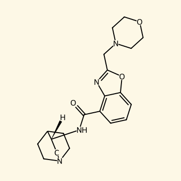 O=C(N[C@@H]1CN2CCC1CC2)c1cccc2oc(CN3CCOCC3)nc12